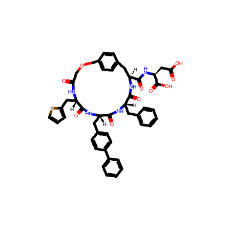 O=C(O)C[C@H](NC(=O)[C@@H]1Cc2ccc(cc2)OCC(=O)N[C@@H](Cc2cccs2)C(=O)N[C@@H](Cc2ccc(-c3ccccc3)cc2)C(=O)N[C@@H](Cc2ccccc2)C(=O)N1)C(=O)O